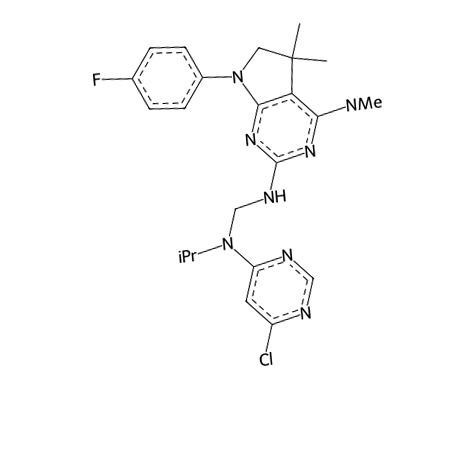 CNc1nc(NCN(c2cc(Cl)ncn2)C(C)C)nc2c1C(C)(C)CN2c1ccc(F)cc1